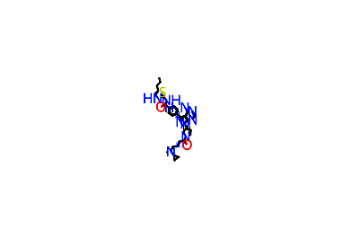 CCCC1=CNC(NC(=O)c2ccc(-c3nn([C@@H]4CCN(C(=O)/C=C/CN(C)C5CC5)C4)c4ncnc(N)c34)cc2)S1